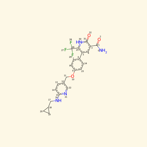 NC(=O)c1cc(-c2ccc(OCc3ccc(NCC4CC4)nc3)cc2)c(C(F)(F)F)[nH]c1=O